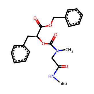 CCCCNC(=O)CN(C)C(=O)O[C@@H](Cc1ccccc1)C(=O)OCc1ccccc1